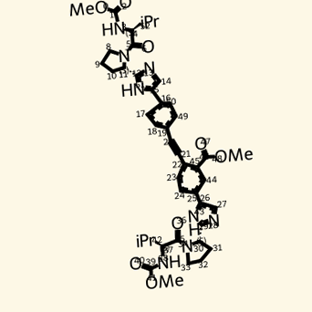 COC(=O)N[C@H](C(=O)N1CCC[C@H]1c1ncc(-c2ccc(C#Cc3ccc(-c4cnc([C@@H]5CCCN5C(=O)[C@@H](NC(=O)OC)C(C)C)[nH]4)cc3C(=O)OC)cc2)[nH]1)C(C)C